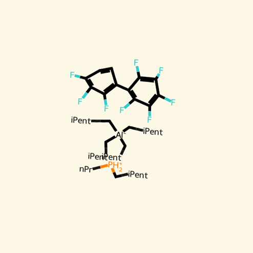 CCCC(C)[CH2][Al-]([CH2]C(C)CCC)([CH2]C(C)CCC)[CH2]C(C)CCC.CCC[PH2+]CC(C)CCC.Fc1ccc(-c2c(F)c(F)c(F)c(F)c2F)c(F)c1F